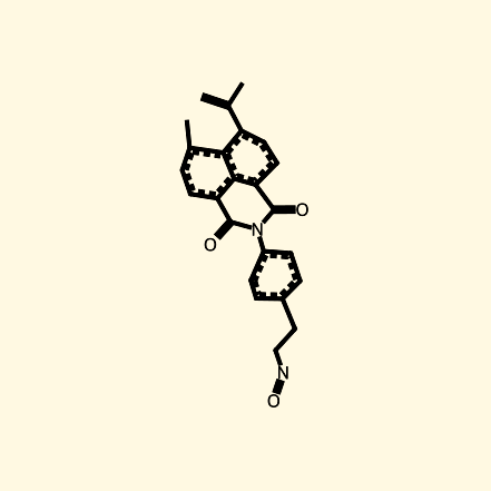 C=C(C)c1ccc2c3c(ccc(C)c13)C(=O)N(c1ccc(CCN=O)cc1)C2=O